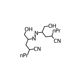 CCCC(C#N)CC(CO)N=NC(CO)CC(C#N)CCC